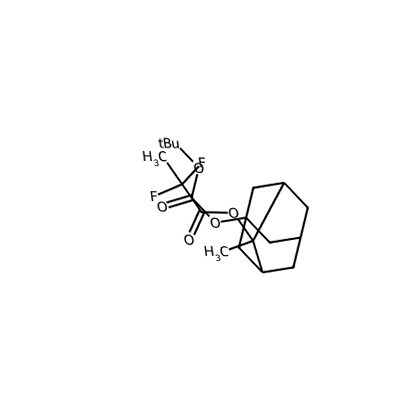 CC(C)(C)OC(=O)OC12CC3CC(C1)C(C)(OC(=O)C(C)(F)F)C(C3)C2